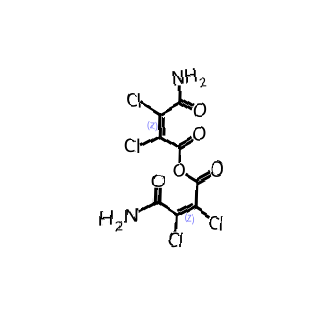 NC(=O)/C(Cl)=C(/Cl)C(=O)OC(=O)/C(Cl)=C(/Cl)C(N)=O